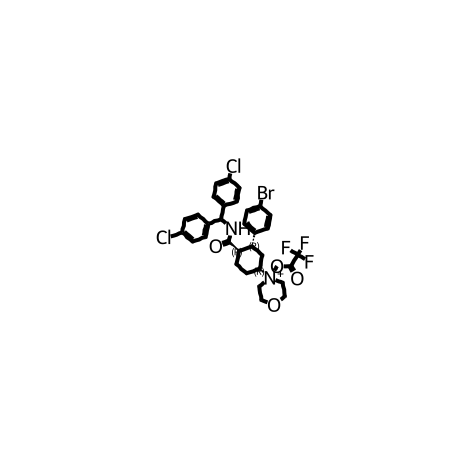 O=C(NC(c1ccc(Cl)cc1)c1ccc(Cl)cc1)[C@@H]1CC[C@@H]([N+]2(OC(=O)C(F)(F)F)CCOCC2)C[C@H]1c1ccc(Br)cc1